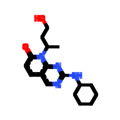 CC(CCO)n1c(=O)ccc2cnc(NC3CCCCC3)nc21